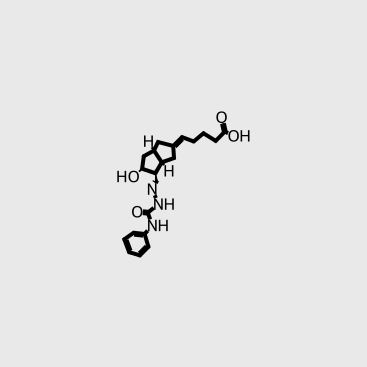 O=C(O)CCC/C=C1/C[C@H]2C[C@@H](O)[C@H](C=NNC(=O)Nc3ccccc3)[C@H]2C1